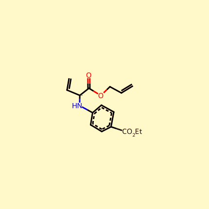 C=CCOC(=O)[C](C=C)Nc1ccc(C(=O)OCC)cc1